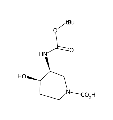 CC(C)(C)OC(=O)N[C@H]1CN(C(=O)O)CC[C@H]1O